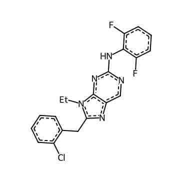 CCn1c(Cc2ccccc2Cl)nc2cnc(Nc3c(F)cccc3F)nc21